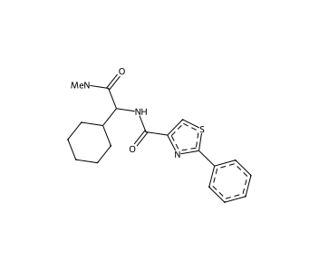 CNC(=O)C(NC(=O)c1csc(-c2ccccc2)n1)C1CCCCC1